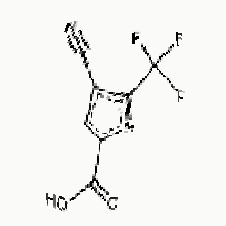 N#Cc1cc(C(=O)O)sc1C(F)(F)F